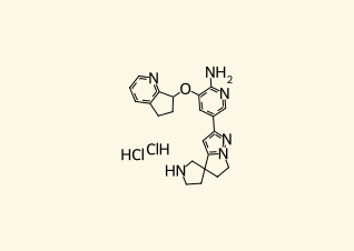 Cl.Cl.Nc1ncc(-c2cc3n(n2)CCC32CCNC2)cc1OC1CCc2cccnc21